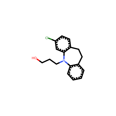 OCCCN1c2ccccc2CCc2ccc(Cl)cc21